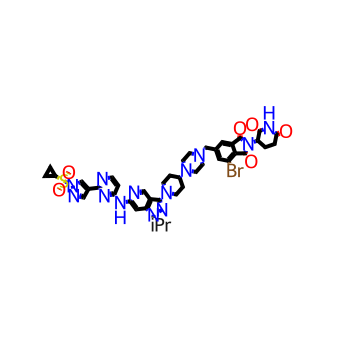 CC(C)n1nc(N2CCC(N3CCN(Cc4cc(Br)c5c(c4)C(=O)N(C4CCC(=O)NC4=O)C5=O)CC3)CC2)c2cnc(Nc3ccnc(-c4cnn(S(=O)(=O)C5CC5)c4)n3)cc21